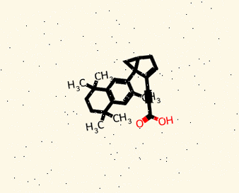 Cc1cc2c(cc1C13CC1CC=C3C#CC(=O)O)C(C)(C)CCC2(C)C